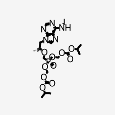 CC(C)OC(=O)OCOP(=O)(CO[C@H](C)Cn1cnc2c(NI)ncnc21)OCOC(=O)OC(C)C